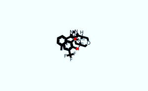 Cc1cccc(-c2nnc3n2C[C@@H]2COC[C@H]3N2C(=O)c2cccc(C(F)(F)F)c2C)n1